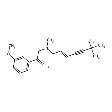 C=C(CN(C)CC=CC#CC(C)(C)C)c1cccc(OC)c1